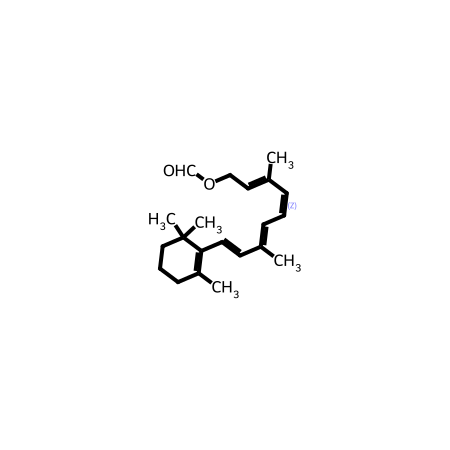 CC(C=CC1=C(C)CCCC1(C)C)=C/C=C\C(C)=CCOC=O